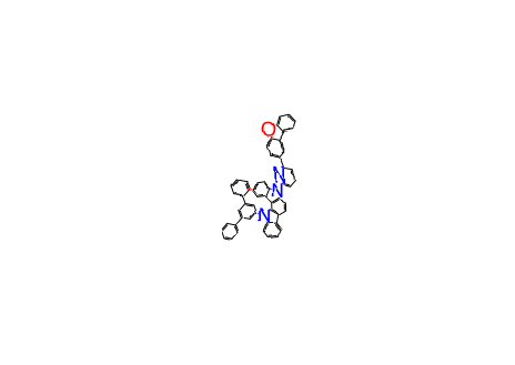 c1ccc(-c2cc(-c3ccccc3)cc(-n3c4ccccc4c4ccc5c(c6ccccc6n5-c5cccc(-c6ccc7oc8ccccc8c7c6)n5)c43)c2)cc1